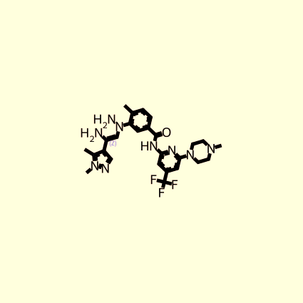 Cc1ccc(C(=O)Nc2cc(C(F)(F)F)cc(N3CCN(C)CC3)n2)cc1N(N)/C=C(\N)c1cnn(C)c1C